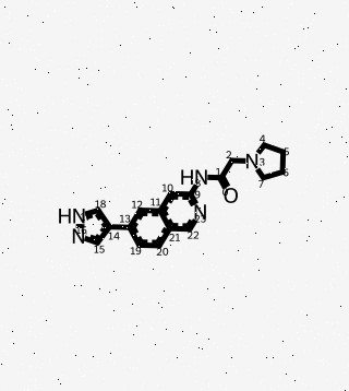 O=C(CN1CCCC1)Nc1cc2cc(-c3cn[nH]c3)ccc2cn1